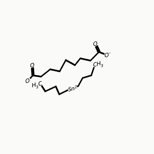 CCC[CH2][Sn+2][CH2]CCC.O=C([O-])CCCCCCCC(=O)[O-]